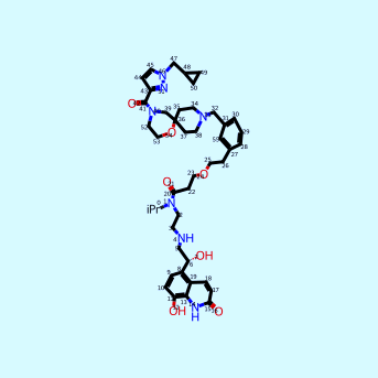 CC(C)N(CCNC[C@H](O)c1ccc(O)c2[nH]c(=O)ccc12)C(=O)CCOCCc1cccc(CN2CCC3(CC2)CN(C(=O)c2ccn(CC4CC4)n2)CCO3)c1